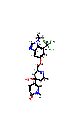 CC1CC(O)(c2ccc(=O)n(C)c2)CC(COc2cc(C(F)(F)F)c3c(c2)ncn3C(C)C)N1